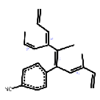 C=C/C=C(\C=C/C)C(/C)=C(/C=C(\C)C=C)c1ccc(C#N)cc1